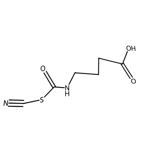 N#CSC(=O)NCCCC(=O)O